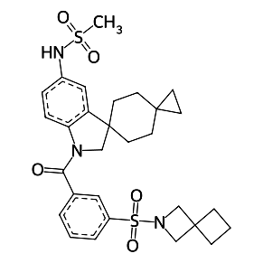 CS(=O)(=O)Nc1ccc2c(c1)C1(CCC3(CC3)CC1)CN2C(=O)c1cccc(S(=O)(=O)N2CC3(CCC3)C2)c1